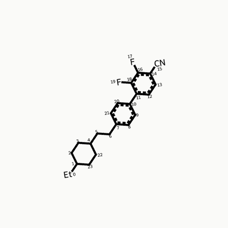 CCC1CCC(CCc2ccc(-c3ccc(C#N)c(F)c3F)cc2)CC1